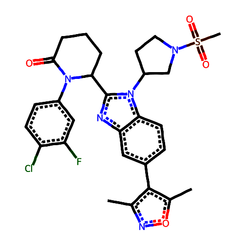 Cc1noc(C)c1-c1ccc2c(c1)nc(C1CCCC(=O)N1c1ccc(Cl)c(F)c1)n2C1CCN(S(C)(=O)=O)C1